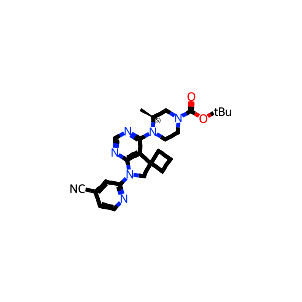 C[C@H]1CN(C(=O)OC(C)(C)C)CCN1c1ncnc2c1C1(CCC1)CN2c1cc(C#N)ccn1